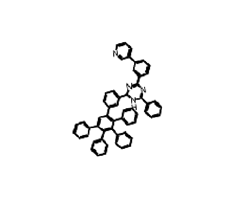 c1ccc(C2=NC(c3cccc(-c4cccnc4)c3)=NC(c3cccc(-c4cc(-c5ccccc5)c(-c5ccccc5)c(-c5ccccc5)c4-c4ccccc4)c3)N2)cc1